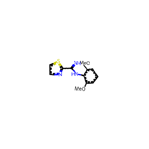 COc1cccc(OC)c1NC(=N)c1nccs1